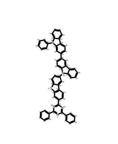 c1ccc(-c2nc(-c3ccccc3)nc(-c3ccc4c(c3)sc3ccc(-n5c6ccccc6c6cc(-c7ccc8c9ccccc9n(-c9ccccc9)c8c7)ccc65)cc34)n2)cc1